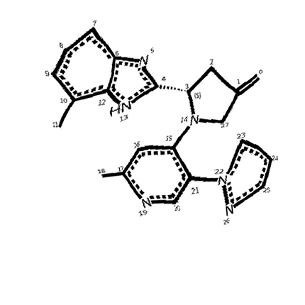 C=C1C[C@@H](c2nc3cccc(C)c3[nH]2)N(c2cc(C)n[c]c2-n2cccn2)C1